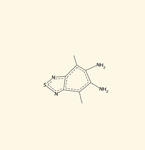 Cc1c(N)c(N)c(C)c2nsnc12